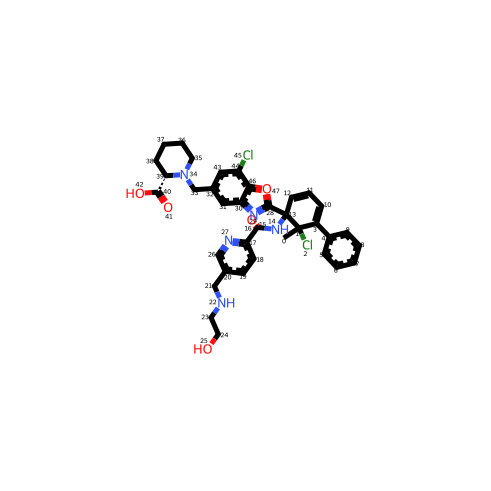 CC1(Cl)C(c2ccccc2)=CC=CC1(NC(=O)c1ccc(CNCCO)cn1)c1nc2cc(CN3CCCC[C@H]3C(=O)O)cc(Cl)c2o1